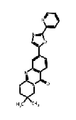 CC1(C)CCc2nc3cc(-c4cnc(-c5ccccn5)o4)ccc3c(=O)n2C1